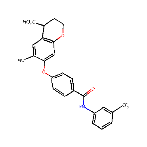 N#Cc1cc2c(cc1Oc1ccc(C(=O)Nc3cccc(C(F)(F)F)c3)cc1)OCCC2C(=O)O